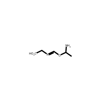 CC(N)OC=NCC(=O)O